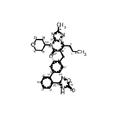 CCCc1c(Cc2ccc(-c3ccccc3-c3noc(=O)[nH]3)cc2)c(=O)n(C2CCOCC2)c2nc(C)nn12